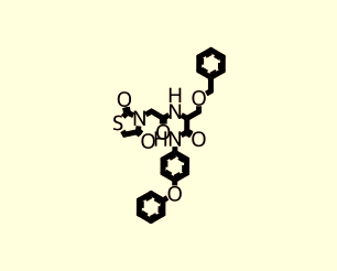 O=C(CN1C(=O)CSC1=O)NC(COCc1ccccc1)C(=O)Nc1ccc(Oc2ccccc2)cc1